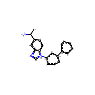 CC(N)c1ccc2c(c1)ncn2-c1cccc(-c2ccccc2)c1